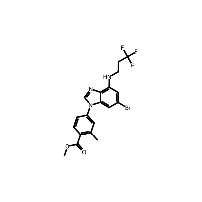 COC(=O)c1ccc(-n2cnc3c(NCCC(F)(F)F)cc(Br)cc32)cc1C